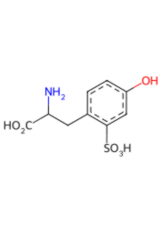 NC(Cc1ccc(O)cc1S(=O)(=O)O)C(=O)O